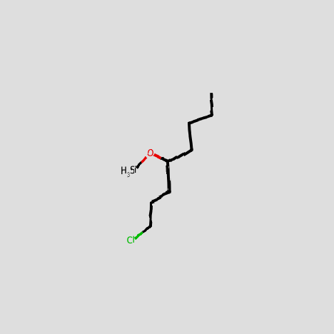 CCCCC(CCCCl)O[SiH3]